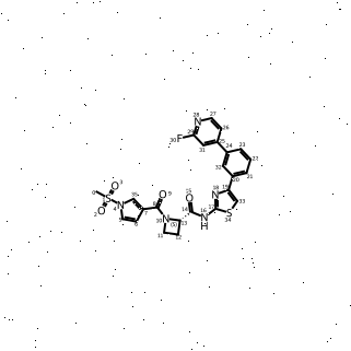 CS(=O)(=O)n1ccc(C(=O)N2CC[C@H]2C(=O)Nc2nc(-c3cccc(-c4ccnc(F)c4)c3)cs2)c1